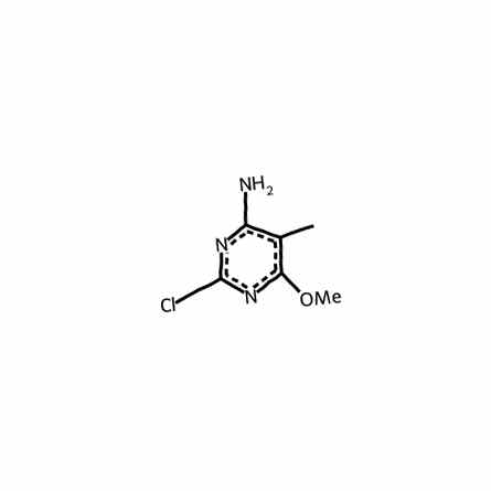 COc1nc(Cl)nc(N)c1C